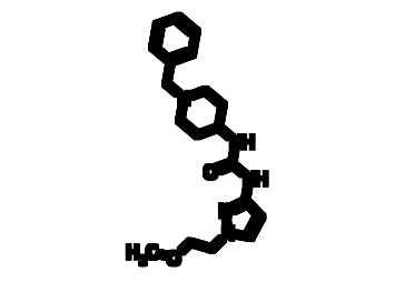 COCCn1ccc(NC(=O)NC2CCN(Cc3ccccc3)CC2)n1